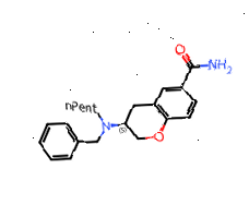 CCCCCN(Cc1ccccc1)[C@@H]1COc2ccc(C(N)=O)cc2C1